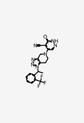 CC(c1ccccc1C(F)(F)F)n1nnc2c1CCN(c1cn[nH]c(=O)c1C#N)C2